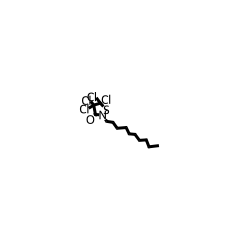 CCCCCCCCCCN1SC(Cl)(Cl)C(Cl)(Cl)C1=O